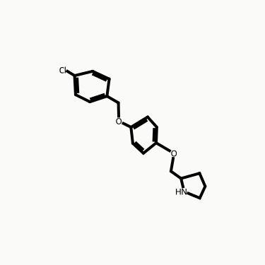 Clc1ccc(COc2ccc(OCC3CCCN3)cc2)cc1